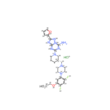 Cl.Nc1nc(N2CCC[C@@H](CN3CCN(c4cc(OCC(=O)O)c(F)cc4F)CC3)C2)nc2nc(-c3ccco3)nn12